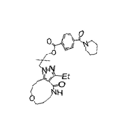 CCc1nn(CC(C)(C)COC(=O)c2ccc(C(=O)N3CCCCC3)cc2)c2c1C(=O)NCCCOCCC2